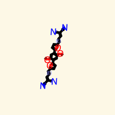 COc1cc(-c2ccc(/C=C/C=C(C#N)C#N)o2)c(OC)cc1-c1ccc(/C=C/C=C(C#N)C#N)o1